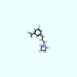 CC(C)c1cc(F)cc(CCCN2CCCC2)c1